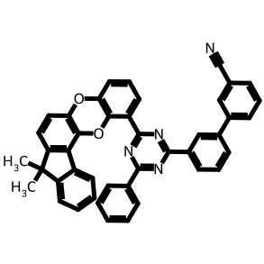 CC1(C)c2ccccc2-c2c1ccc1c2Oc2c(cccc2-c2nc(-c3ccccc3)nc(-c3cccc(-c4cccc(C#N)c4)c3)n2)O1